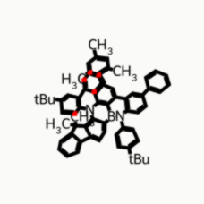 Cc1cc(C)c(-c2cc3c4c(c2)N(c2ccc(C(C)(C)C)cc2-c2ccccc2)c2c(ccc5c2C(C)(C)c2ccccc2-5)B4N(c2ccc(C(C)(C)C)cc2)c2ccc(-c4ccccc4)cc2-3)c(C)c1